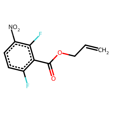 C=CCOC(=O)c1c(F)ccc([N+](=O)[O-])c1F